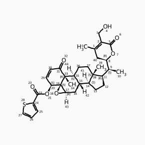 CC1=C(CO)C(=O)O[C@@H]([C@@H](C)[C@H]2CC[C@H]3[C@@H]4C[C@H]5O[C@]56[C@@H](OC(=O)c5cccs5)C=CC(=O)[C@]6(C)[C@H]4CC[C@]23C)C1